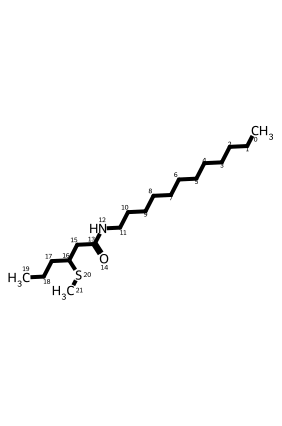 CCCCCCCCCCCCNC(=O)CC(CCC)SC